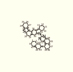 c1ccc2c(-c3nc(-n4c5ccccc5c5cc6c(ccc7sc8ccccc8c76)cc54)nc4ccc5ccccc5c34)cccc2c1